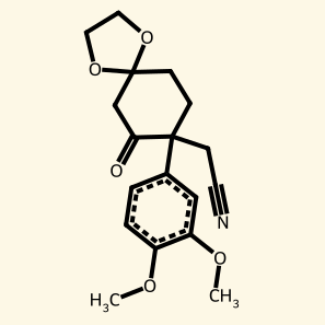 COc1ccc(C2(CC#N)CCC3(CC2=O)OCCO3)cc1OC